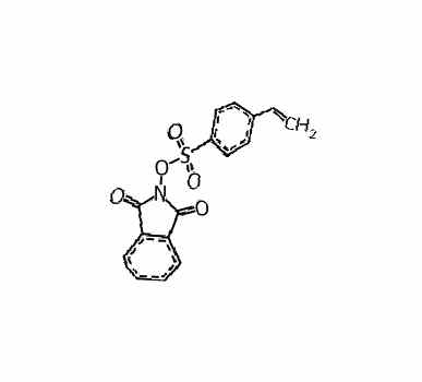 C=Cc1ccc(S(=O)(=O)ON2C(=O)c3ccccc3C2=O)cc1